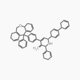 C=C1C(c2ccc(C3(c4ccccc4)C4=CC=CCC4OCC4=C3C=CCC4)cc2)=CC(C2C=CC(C3C=CC=CC3)=CC2)NC1C1=CCCC=C1